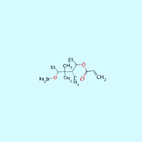 C=CC(=O)OC(CC)C(C)C(C)(C)C(CC)O[SiH3]